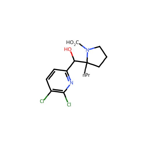 CCCC1(C(O)c2ccc(Cl)c(Cl)n2)CCCN1C(=O)O